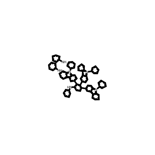 Nc1ccccc1.Nc1ccccc1.c1ccc(Nc2ccc(-c3ccc4c(c3)c3ccccc3n4-c3ccccc3)c(-c3ccc4c(c3)c3ccccc3n4-c3ccccc3)c2-c2ccc3c(c2)c2ccccc2n3-c2ccccc2)cc1